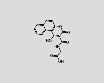 O=C(O)CNC(=O)c1c(O)c2c(ccc3ccccc32)oc1=O